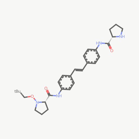 CC(C)(C)CON1CCC[C@H]1C(=O)Nc1ccc(/C=C/c2ccc(NC(=O)[C@@H]3CCCN3)cc2)cc1